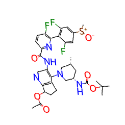 CC(=O)OC1CCc2c1ncc(NC(=O)c1ccc(F)c(-c3c(F)cc([S+](C)[O-])cc3F)n1)c2N1C[C@H](C)C[C@H](NC(=O)OC(C)(C)C)C1